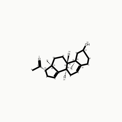 CC(=O)[C@H]1CC=C2[C@@H]3CC=C4CCC(O)C[C@]4(C)[C@H]3CC[C@@]21C